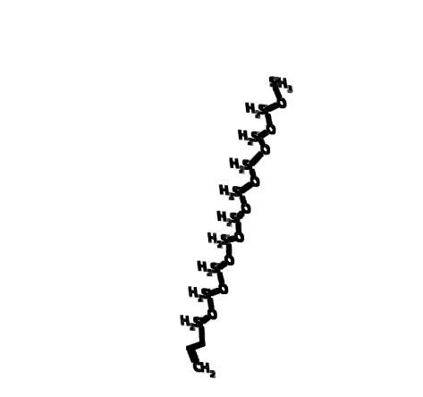 C=CC[SiH2]O[SiH2]O[SiH2]O[SiH2]O[SiH2]O[SiH2]O[SiH2]O[SiH2]O[SiH2]O[SiH3]